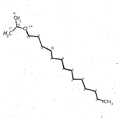 CCCCCCCCCCCCCCOC(C)C